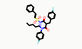 CCCCCN(C(=O)C(Cc1ccc(F)cc1)C(=O)NS(=O)(=O)C=Cc1ccccc1)c1ccc(F)cc1